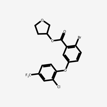 O=C(OC1CCOC1)c1cc(Oc2ccc(C(F)(F)F)cc2Cl)ccc1Br